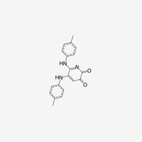 Cc1ccc(NC2=CC(=O)C(=O)N=C2Nc2ccc(C)cc2)cc1